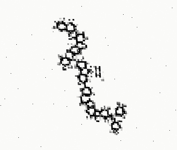 CC1(C)c2ccc(N(c3ccccc3)c3ccc4c(c3)oc3ccc5c6ccc7ccccc7c6sc5c34)cc2-c2ccc(-c3ccc4c(ccc5c6ccc7oc8cc(N(c9ccccc9)c9ccccc9)ccc8c7c6sc45)c3)cc21